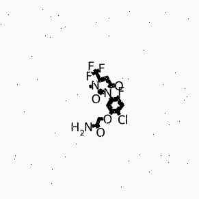 Cn1c(C(F)(F)F)cc(=O)n(-c2cc(OCC(N)=O)c(Cl)cc2F)c1=O